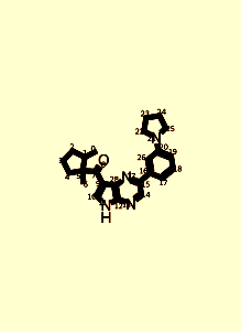 CC1CCCC1(C)C(=O)c1c[nH]c2ncc(-c3cccc(N4CCCC4)c3)nc12